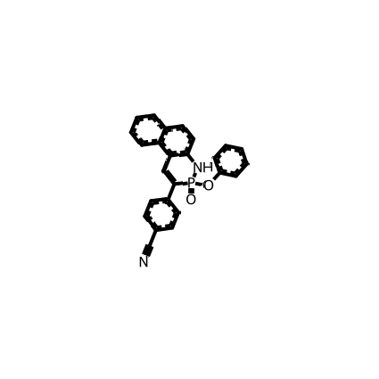 N#Cc1ccc(C2=Cc3c(ccc4ccccc34)NP2(=O)Oc2ccccc2)cc1